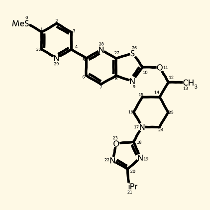 CSc1ccc(-c2ccc3nc(OC(C)C4CCN(c5nc(C(C)C)no5)CC4)sc3n2)nc1